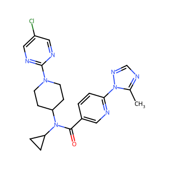 Cc1ncnn1-c1ccc(C(=O)N(C2CC2)C2CCN(c3ncc(Cl)cn3)CC2)cn1